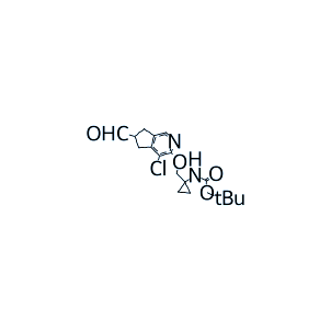 CC(C)(C)OC(=O)NC1(COc2ncc3c(c2Cl)CC(C=O)C3)CC1